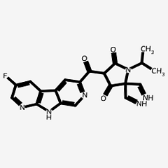 CC(C)N1C(=O)C(C(=O)c2cc3c(cn2)[nH]c2ncc(F)cc23)C(=O)C1(C=N)C=N